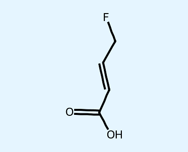 O=C(O)C=CCF